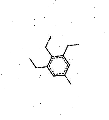 CCc1cc(C)cc(CC)c1CI